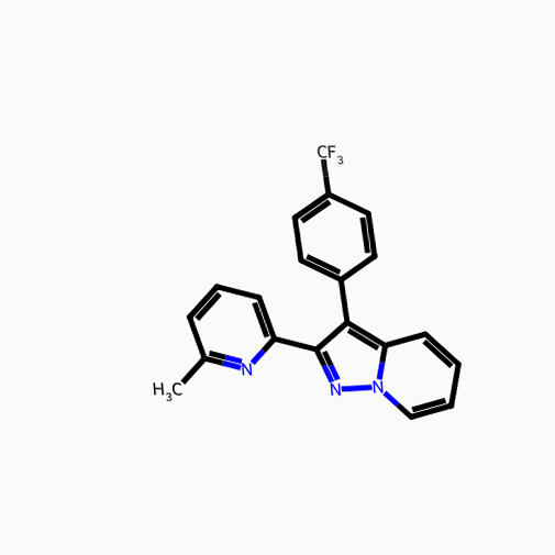 Cc1cccc(-c2nn3ccccc3c2-c2ccc(C(F)(F)F)cc2)n1